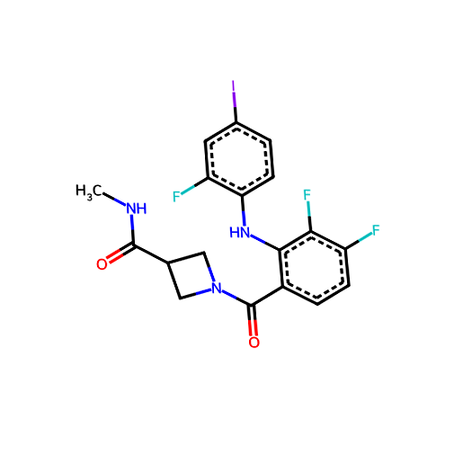 CNC(=O)C1CN(C(=O)c2ccc(F)c(F)c2Nc2ccc(I)cc2F)C1